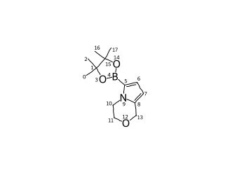 CC1(C)OB(c2ccc3n2CCOC3)OC1(C)C